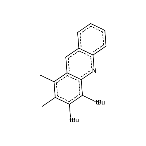 Cc1c(C(C)(C)C)c(C(C)(C)C)c2nc3ccccc3cc2c1C